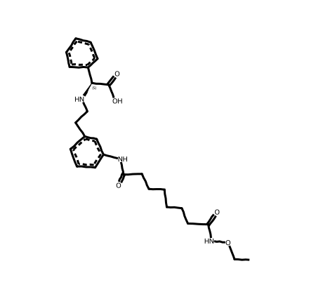 CCONC(=O)CCCCCCC(=O)Nc1cccc(CCN[C@H](C(=O)O)c2ccccc2)c1